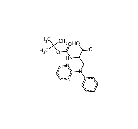 CC(C)(C)OC(=O)NC(CN(c1ccccc1)c1ncccn1)C(=O)O